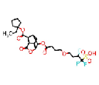 CCC1(OC(=O)C2C3CC4C(OC(=O)C42)C3OC(=O)CCCOCCC(F)C(F)(F)S(=O)(=O)O)CCCC1